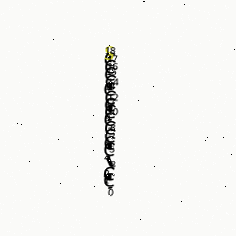 C=C=C=C=C=C=C=C=C=C=C=C=C=C=C=C=C=C=S